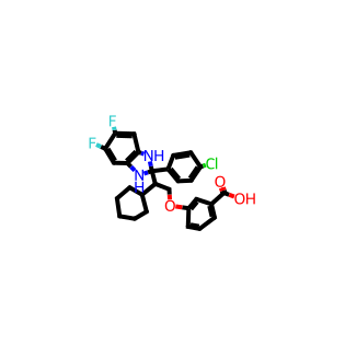 O=C(O)c1cccc(OCC(C2CCCCC2)C2(c3ccc(Cl)cc3)Nc3cc(F)c(F)cc3N2)c1